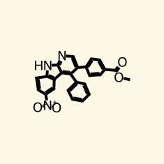 COC(=O)c1ccc(-c2cnc3[nH]c4ccc([N+](=O)[O-])cc4c3c2-c2ccccc2)cc1